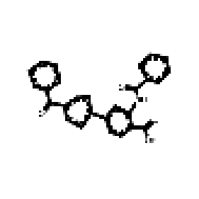 O=C(Nc1cc(-c2ccc(C(=O)c3ccccc3)cc2)ccc1C(=O)O)c1ccccc1